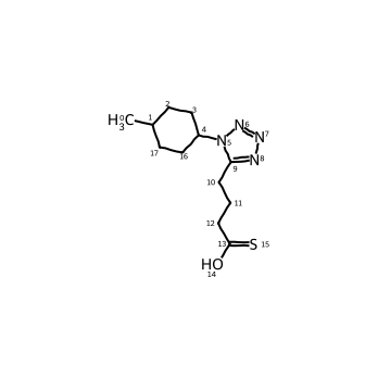 CC1CCC(n2nnnc2CCCC(O)=S)CC1